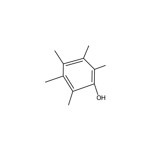 Cc1c(C)c(C)c(O)c(C)c1C